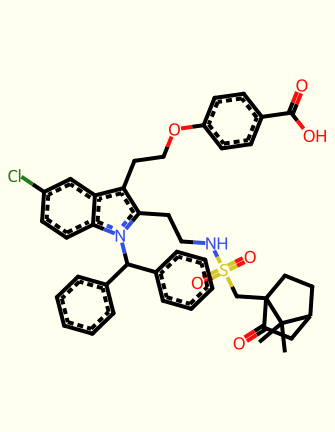 CC1(C)C2CCC1(CS(=O)(=O)NCCc1c(CCOc3ccc(C(=O)O)cc3)c3cc(Cl)ccc3n1C(c1ccccc1)c1ccccc1)C(=O)C2